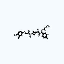 O=C(COc1ccc(Cl)c(F)c1)NC12CC(NC(=O)C(OCCO)c3ccc(F)cc3)(C1)C2